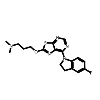 CN(C)CCCOc1nc2c(N3CCc4cc(F)ccc43)ncnc2s1